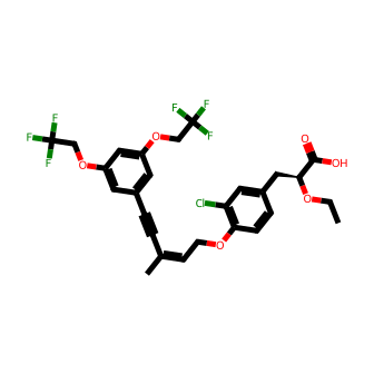 CCO[C@@H](Cc1ccc(OC/C=C(/C)C#Cc2cc(OCC(F)(F)F)cc(OCC(F)(F)F)c2)c(Cl)c1)C(=O)O